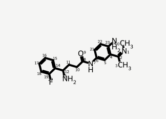 C/N=C(/C)c1cc(NC(=O)CCC(N)c2ccccc2F)ccc1N